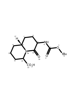 CC(C)(C)OC(=O)NC1CC[C@H]2CCCC(C(=O)O)N2C1=O